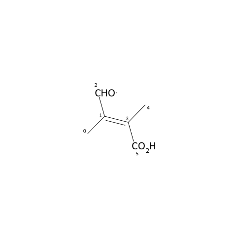 CC([C]=O)=C(C)C(=O)O